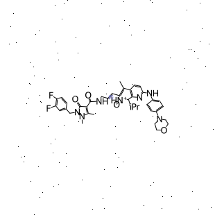 CC1=C(/C=C/CNC(=O)c2c(C)n(C)n(Cc3ccc(F)c(F)c3)c2=O)[NH+]([O-])C(C(C)C)c2nc(Nc3ccc(N4CCOCC4)cc3)ccc21